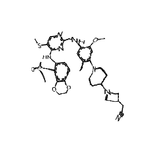 COc1cc(N2CCC(N3CC(CC#N)C3)CC2)c(C)cc1Nc1ncc(SC)c(Nc2ccc3c(c2P(C)(C)=O)OCCO3)n1